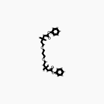 CC(C)(CCOCCCOCCC(C)(C)CC(=O)Oc1ccccc1)CC(=O)Oc1ccccc1